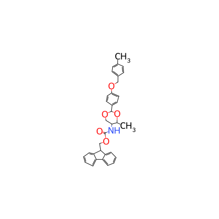 Cc1ccc(COc2ccc(C3OCC(NC(=O)OCC4c5ccccc5-c5ccccc54)C(C)O3)cc2)cc1